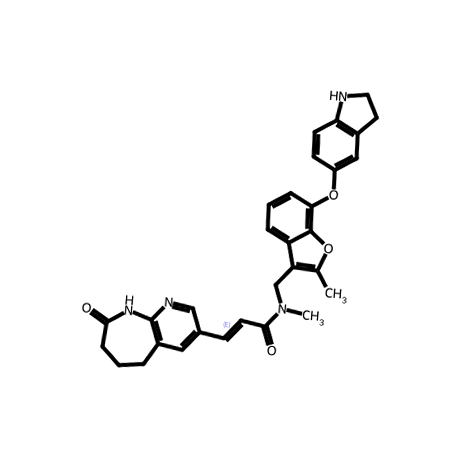 Cc1oc2c(Oc3ccc4c(c3)CCN4)cccc2c1CN(C)C(=O)/C=C/c1cnc2c(c1)CCCC(=O)N2